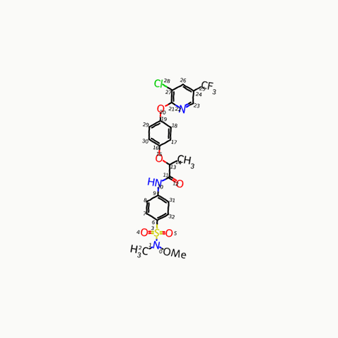 CON(C)S(=O)(=O)c1ccc(NC(=O)C(C)Oc2ccc(Oc3ncc(C(F)(F)F)cc3Cl)cc2)cc1